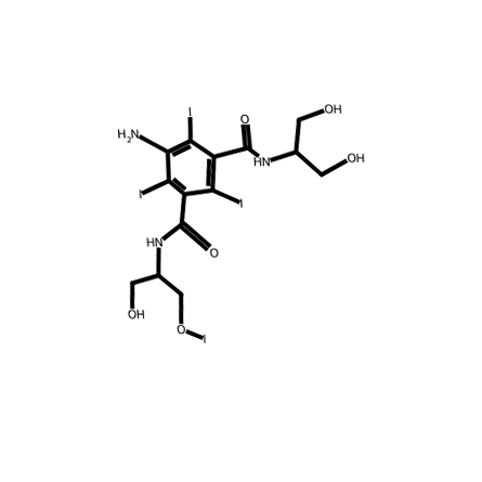 Nc1c(I)c(C(=O)NC(CO)CO)c(I)c(C(=O)NC(CO)COI)c1I